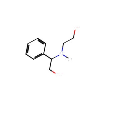 CCN(CCO)C(CO)c1ccccc1